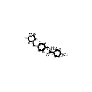 O=C(Nc1ccc(CN2CCOCC2)cc1)c1ccc(Cl)cc1